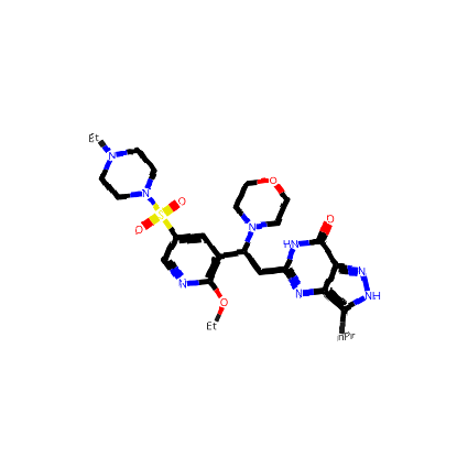 CCCc1[nH]nc2c(=O)[nH]c(CC(c3cc(S(=O)(=O)N4CCN(CC)CC4)cnc3OCC)N3CCOCC3)nc12